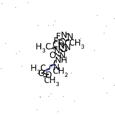 C=N/C(=C\C=C(/C)S(=O)(=O)CC)CNc1nc2cnc(-c3c(C)ncnc3C(F)(F)F)nc2n([C@@H](C)CC)c1=O